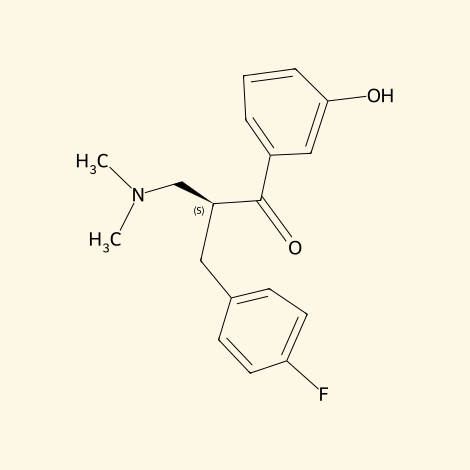 CN(C)C[C@H](Cc1ccc(F)cc1)C(=O)c1cccc(O)c1